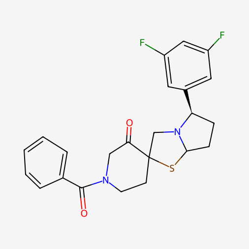 O=C(c1ccccc1)N1CCC2(CN3C(CC[C@@H]3c3cc(F)cc(F)c3)S2)C(=O)C1